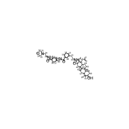 C=C(C)[C@@H]1CC[C@]2(C(=O)NCCc3cccc(C(=O)NCc4ccc(C(=O)NCCN5CCOCC5)cc4)c3)CC[C@]3(C)C(CCC4[C@@]5(C)CC[C@H](O)C(C)(C)C5CC[C@]43C)C12